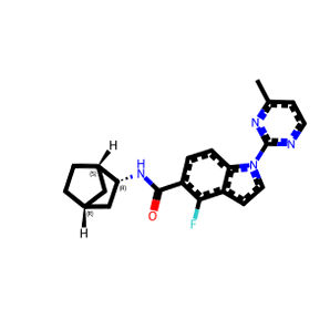 Cc1ccnc(-n2ccc3c(F)c(C(=O)N[C@@H]4C[C@@H]5CC[C@H]4C5)ccc32)n1